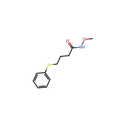 CONC(=O)CCCSc1ccccc1